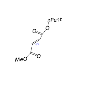 CCCCCOC(=O)/C=C/C(=O)OC